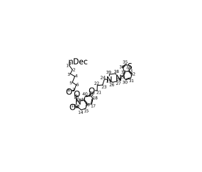 CCCCCCCCCCCCCCCCC(=O)OCN1C(=O)CCc2ccc(OCCCCN3CCN(c4cccc5sccc45)CC3)cc21